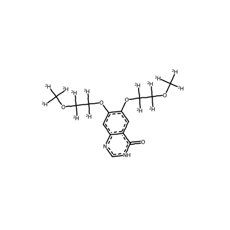 [2H]C([2H])([2H])OC([2H])([2H])C([2H])([2H])Oc1cc2nc[nH]c(=O)c2cc1OC([2H])([2H])C([2H])([2H])OC([2H])([2H])[2H]